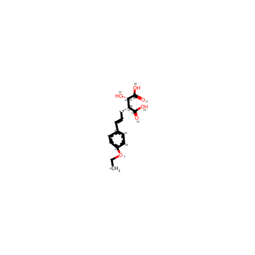 CCOc1ccc(C=CC[C@@H](C(=O)O)[C@H](O)C(=O)O)cc1